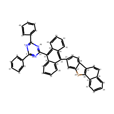 c1ccc(-c2nc(-c3ccccc3)nc(-c3c4ccccc4c(-c4ccc5c(c4)sc4c6ccccc6ccc54)c4ccccc34)n2)cc1